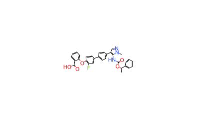 C[C@@H](OC(=O)Nc1c(-c2ccc(-c3ccc(Oc4ccccc4C(=O)O)c(F)c3)cc2)cnn1C)c1ccccc1